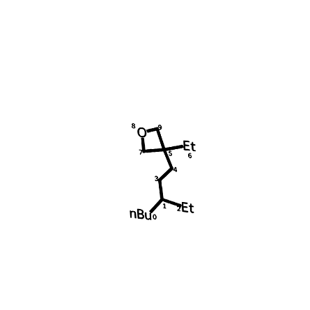 CCCCC(CC)CCC1(CC)COC1